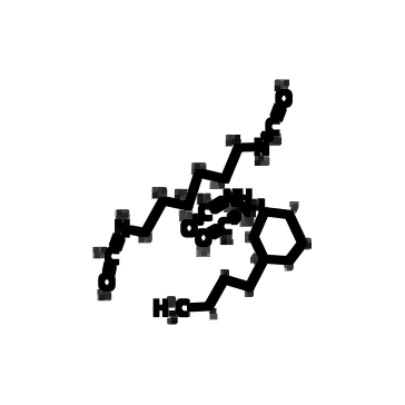 CCCCC1CCCCC1.N=C=O.N=C=O.O=C=NCCCCCCN=C=O